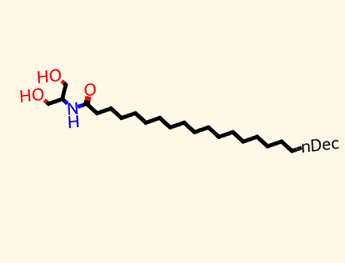 CCCCCCCCCCCCCCCCCCCCCCCCCCCC(=O)NC(CO)CO